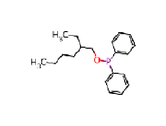 CCCCC(CC)COP(c1ccccc1)c1ccccc1